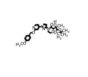 COc1ccc(COc2cc(-n3ccc(N4CCO[C@H]([C@@](C)(O)C(=O)OC(C)(C)C)C4=O)n3)ccn2)cc1